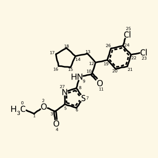 CCOC(=O)c1csc(NC(=O)C(CC2CCCC2)c2ccc(Cl)c(Cl)c2)n1